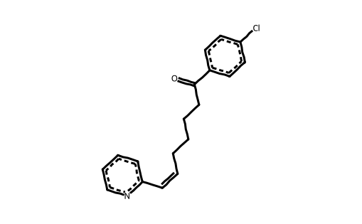 O=C(CCCC/C=C\c1ccccn1)c1ccc(Cl)cc1